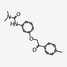 Cc1ccc(C(=O)COc2cccc(NC(=O)N(C)C)c2)cc1